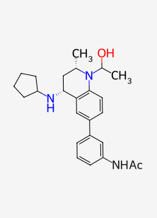 CC(=O)Nc1cccc(-c2ccc3c(c2)[C@H](NC2CCCC2)C[C@H](C)N3C(C)O)c1